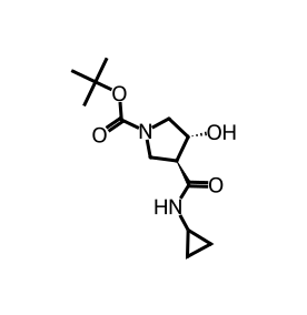 CC(C)(C)OC(=O)N1C[C@H](C(=O)NC2CC2)[C@@H](O)C1